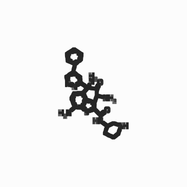 Nc1ccc2c3c(c(C(=O)NC4CCCNC4)sc13)C(N)C(=O)C2(N)c1cc(-c2ccccc2)cnn1